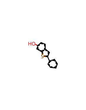 Oc1ccc2cc(-c3ccccc3)sc2c1